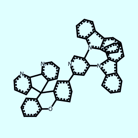 c1ccc2c(c1)Oc1ccc(-c3cc(-n4c5ccccc5c5ccccc54)c(-n4c5ccccc5c5ccccc54)cn3)cc1C21c2cccnc2-c2ncccc21